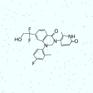 Cc1cc(F)ccc1N1CN(c2ccc(=O)[nH]c2C)C(=O)c2ccc(C(F)(F)CO)cc21